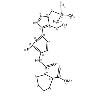 COC(=O)[C@H]1CCCC[C@@H]1C(=O)Nc1ccc(-c2nnn(C[Si](C)(C)C)c2CO)nc1F